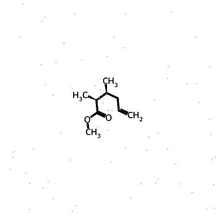 C=CC[C@H](C)[C@H](C)C(=O)OC